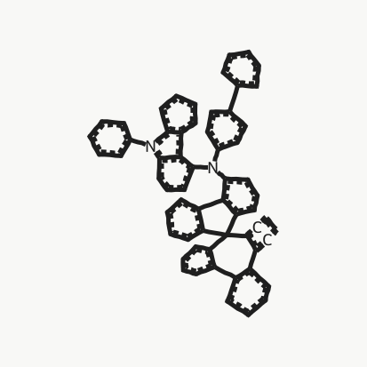 c1ccc(-c2ccc(N(c3cccc4c3-c3ccccc3C43c4ccccc4-c4ccccc4-c4ccccc43)c3cccc4c3c3ccccc3n4-c3ccccc3)cc2)cc1